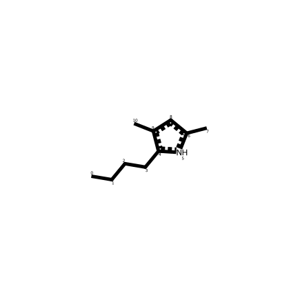 CCCCc1[nH]c(C)cc1C